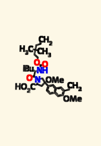 C=CCC(C)(C)CCOC(=O)NC(C(=O)N1CC(OC)(c2ccc3cc(OC)c(C=C)cc3c2)CC1C(=O)O)C(C)CC